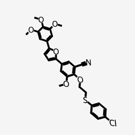 COc1cc(-c2ccc(-c3cc(OC)c(OC)c(OC)c3)o2)cc(C#N)c1OCCSc1ccc(Cl)cc1